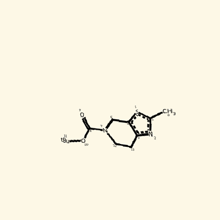 Cc1nc2c(s1)CN(C(=O)OC(C)(C)C)CC2